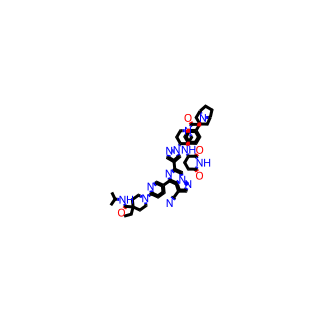 CCC1(C(=O)NC(C)C)CCN(c2ccc(-c3nc(-c4cnn(C5CCN(C(=O)CN6C7CCC6CC(c6ccc(NC8CCC(=O)NC8=O)cc6)C7)CC5)c4)cn4ncc(C#N)c34)cn2)CC1